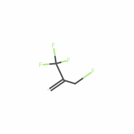 [CH]=C(CF)C(F)(F)F